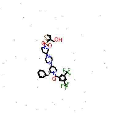 O=C(c1cc(C(F)(F)F)cc(C(F)(F)F)c1)N1CC[C@H](N2CCN(C3CCN(S(=O)(=O)c4sccc4CO)C3)CC2)C[C@H]1Cc1ccccc1